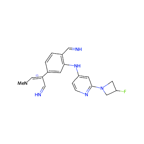 CN/C=C(\C=N)c1ccc(C=N)c(Nc2ccnc(N3CC(F)C3)c2)c1